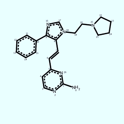 Nc1nccc(C=Cc2c(-c3ccccc3)ncn2CCN2CCCC2)n1